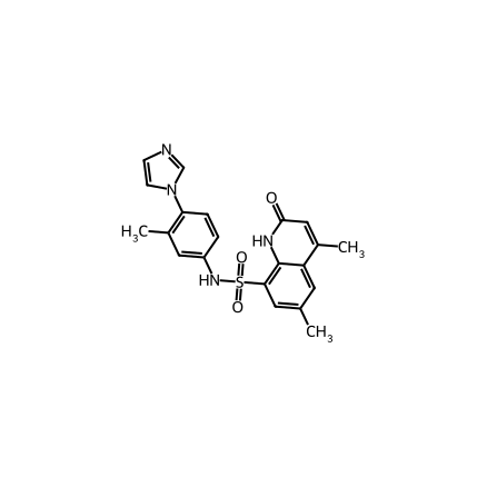 Cc1cc(S(=O)(=O)Nc2ccc(-n3ccnc3)c(C)c2)c2[nH]c(=O)cc(C)c2c1